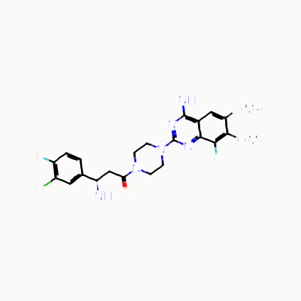 COc1cc2c(N)nc(N3CCN(C(=O)C[C@@H](N)c4ccc(F)c(Cl)c4)CC3)nc2c(F)c1OC